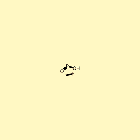 CF.O=PO